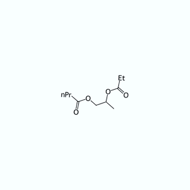 CCCC(=O)OCC(C)OC(=O)CC